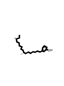 CC[C@@H](C)CCCCCC[C@@H](C)CCCCCCCc1cccc(O)c1